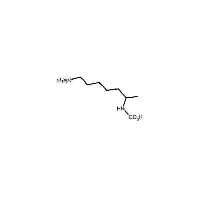 CCCCCCCCCCCCC(C)NC(=O)O